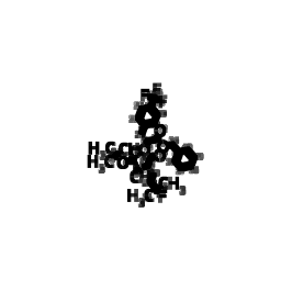 CN(C(=O)OC(C)(C)C)[C@@H](CCC(C)(C)F)C(=O)O[C@H](Cc1ccc(C(F)(F)F)cc1)C(=O)OCc1ccccc1